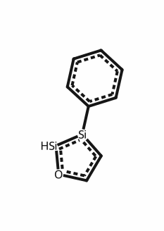 c1ccc(-[si]2cco[siH]2)cc1